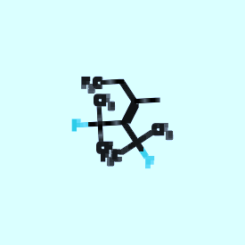 CC(CC(F)(F)F)=C(C(F)(C(F)(F)F)C(F)(F)F)C(F)(C(F)(F)F)C(F)(F)F